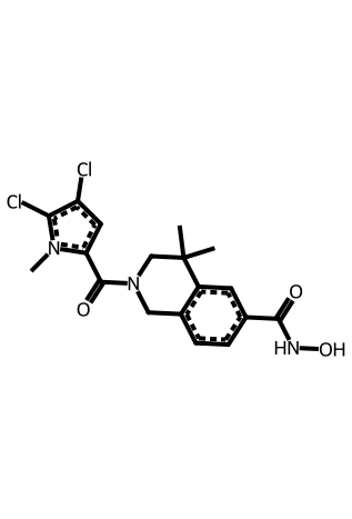 Cn1c(C(=O)N2Cc3ccc(C(=O)NO)cc3C(C)(C)C2)cc(Cl)c1Cl